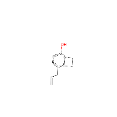 C=CCc1ccc(O)c2c1CC2